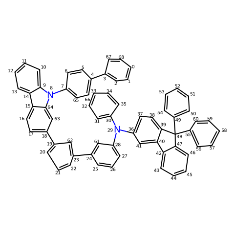 c1ccc(-c2ccc(-n3c4ccccc4c4ccc(-c5cccc(-c6cccc(N(c7ccccc7)c7ccc8c(c7)-c7ccccc7C8(c7ccccc7)c7ccccc7)c6)c5)cc43)cc2)cc1